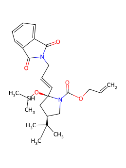 C=CCOC(=O)N1C[C@@H](C(C)(C)C)C[C@@]1(C=CCN1C(=O)c2ccccc2C1=O)O[SiH](C)C